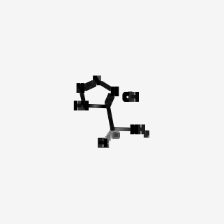 CC[C@@H](N)c1nnn[nH]1.Cl